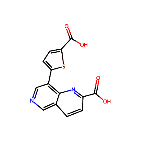 O=C(O)c1ccc2cncc(-c3ccc(C(=O)O)s3)c2n1